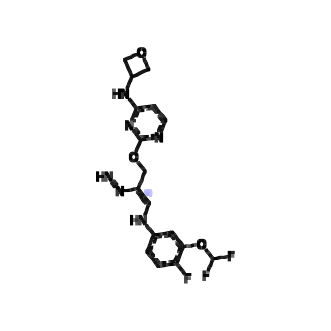 N=N/C(=C\Nc1ccc(F)c(OC(F)F)c1)COc1nccc(NC2COC2)n1